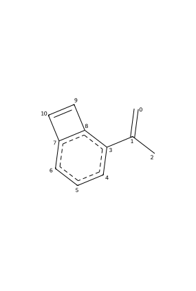 C=C(C)c1cccc2c1C=C2